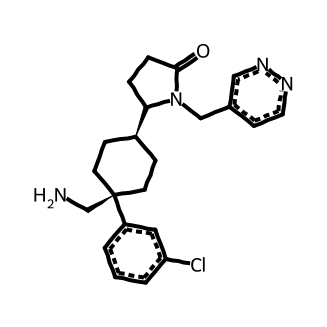 NC[C@]1(c2cccc(Cl)c2)CC[C@H](C2CCC(=O)N2Cc2ccnnc2)CC1